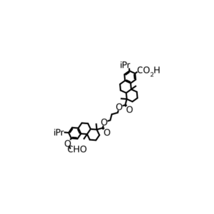 CC(C)c1cc2c(cc1OC=O)C1(C)CCCC(C)(C(=O)OCCCOC(=O)C3(C)CCCC4(C)c5cc(C(=O)O)c(C(C)C)cc5CCC34)C1CC2